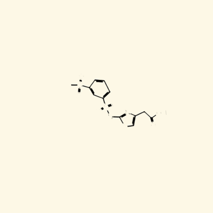 CS(=O)(=O)c1cccc(S(=O)(=O)Nc2nc(CC(=O)O)cs2)c1